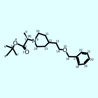 C[C@H](C(=O)OC(C)(C)C)N1CCC(CCOCc2ccccc2)CC1